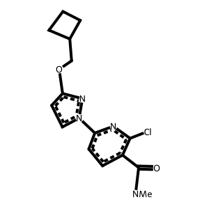 CNC(=O)c1ccc(-n2ccc(OCC3CCC3)n2)nc1Cl